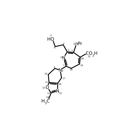 CCCC1=C(CCO)N=C(N2CCc3oc(C)nc3C2)CC=C1C(=O)O